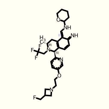 C[C@@H]1CC2=C(C=CC(=N)/C2=C\NC2CCCCO2)[C@@H](c2ccc(OCCN3CC(CF)C3)cn2)N1CC(F)(F)F